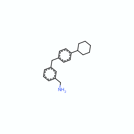 NCc1cccc(Cc2ccc(C3CCCCC3)cc2)c1